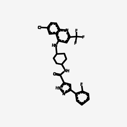 O=C(NC1CCC(Nc2cc(C(F)(F)F)nc3ccc(Cl)cc23)CC1)c1cc(-c2ccccc2F)n[nH]1